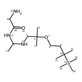 CC(NCC(C)(C)OCCC(C)(C)S(C)(C)C)NC(=O)CN